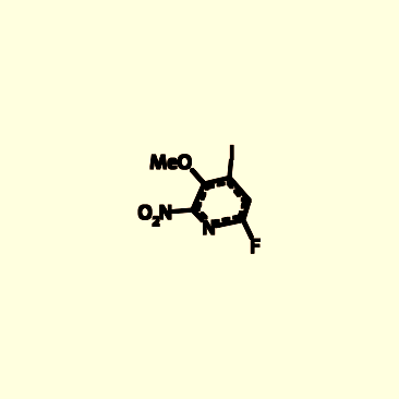 COc1c(I)cc(F)nc1[N+](=O)[O-]